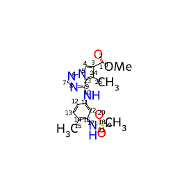 COC(=O)c1cn2ncnc(Nc3ccc(C)c(NS(C)(=O)=O)c3)c2c1C